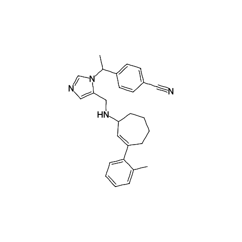 Cc1ccccc1C1=CC(NCc2cncn2C(C)c2ccc(C#N)cc2)CCCC1